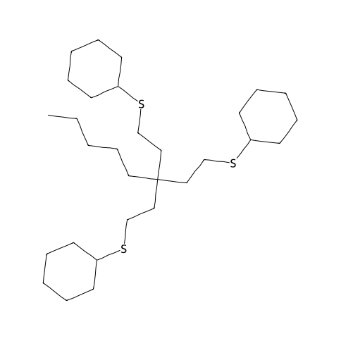 CCCCCC(CCSC1CCCCC1)(CCSC1CCCCC1)CCSC1CCCCC1